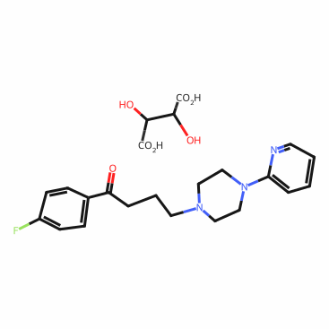 O=C(CCCN1CCN(c2ccccn2)CC1)c1ccc(F)cc1.O=C(O)C(O)C(O)C(=O)O